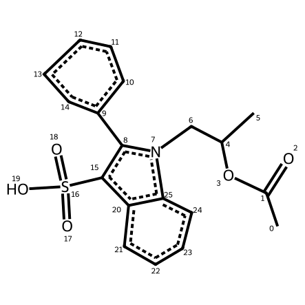 CC(=O)OC(C)Cn1c(-c2ccccc2)c(S(=O)(=O)O)c2ccccc21